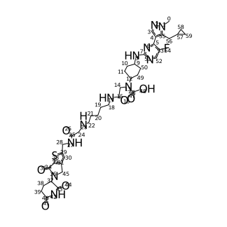 Cn1ncc(-c2nc(NC3CCC(N(CC(=O)NCCCCCNCC(=O)NCc4cc5c(s4)C(=O)N(C4CCC(=O)NC4=O)C5)C(=O)O)CC3)ncc2F)c1CC1CC1